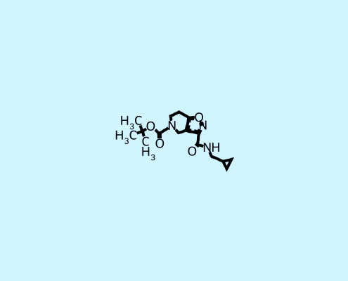 CC(C)(C)OC(=O)N1CCc2onc(C(=O)NCC3CC3)c2C1